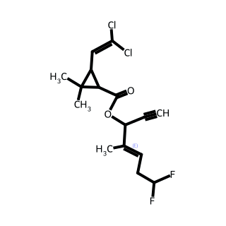 C#CC(OC(=O)C1C(C=C(Cl)Cl)C1(C)C)/C(C)=C/CC(F)F